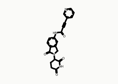 O=C(C#Cc1cccnc1)Nc1ccc2c(c1)CN(C1CCC(=O)NC1=O)C2=O